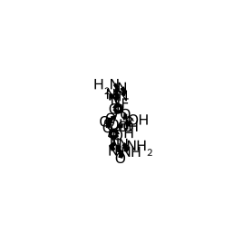 Nc1nc2c(ncn2[C@H]2C[C@@H](OP(=O)(O)OC[C@H]3O[C@@H](n4cnc5c(N)ncnc54)C(F)[C@H]3OC[PH](=O)O)[C@@H](CO)O2)c(=O)[nH]1